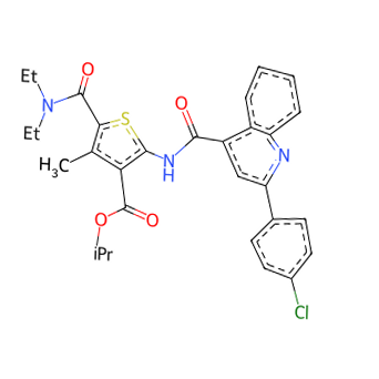 CCN(CC)C(=O)c1sc(NC(=O)c2cc(-c3ccc(Cl)cc3)nc3ccccc23)c(C(=O)OC(C)C)c1C